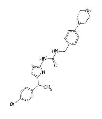 CC(c1ccc(Br)cc1)c1csc(NC(=O)NCc2ccc(N3CCNCC3)cc2)n1